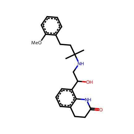 COc1ccccc1CCC(C)(C)NCC(O)c1cccc2c1NC(=O)CC2